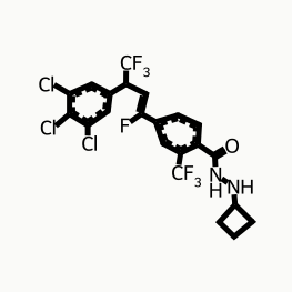 O=C(NNC1CCC1)c1ccc(C(F)=CC(c2cc(Cl)c(Cl)c(Cl)c2)C(F)(F)F)cc1C(F)(F)F